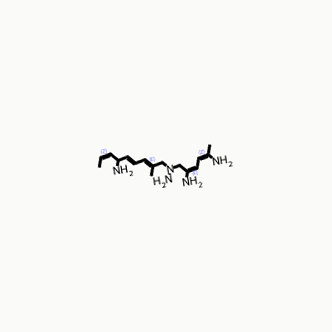 C/C=C\C(N)C=C/C=C(\C)CN(N)C/C(N)=C\C=C(\C)N